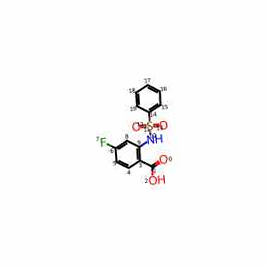 O=C(O)c1ccc(F)cc1NS(=O)(=O)c1ccccc1